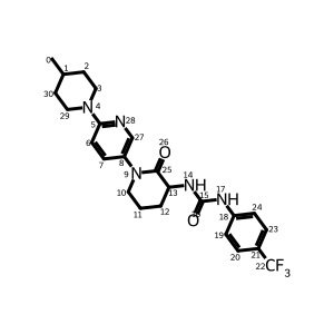 CC1CCN(c2ccc(N3CCCC(NC(=O)Nc4ccc(C(F)(F)F)cc4)C3=O)cn2)CC1